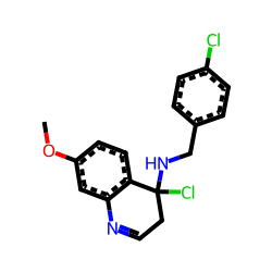 COc1ccc2c(c1)N=CCC2(Cl)NCc1ccc(Cl)cc1